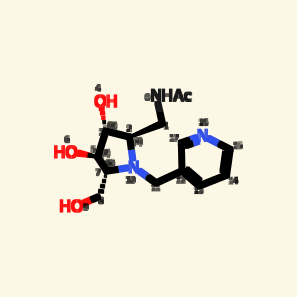 CC(=O)NC[C@@H]1[C@@H](O)[C@H](O)[C@@H](CO)N1Cc1cccnc1